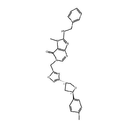 Cc1ccc([C@H]2C[C@H](c3noc(Cn4cnc5nc(NCc6ccccc6)n(C)c5c4=O)n3)CO2)cc1